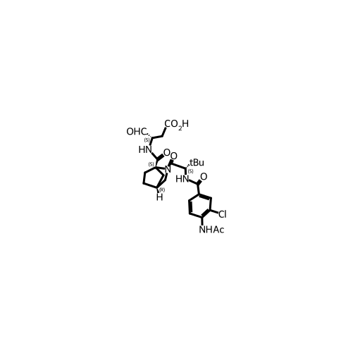 CC(=O)Nc1ccc(C(=O)N[C@H](C(=O)N2C[C@@H]3CC[C@@]2(C(=O)N[C@H](C=O)CC(=O)O)C3)C(C)(C)C)cc1Cl